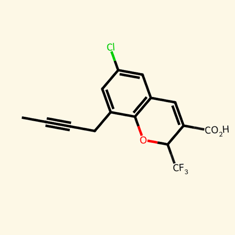 CC#CCc1cc(Cl)cc2c1OC(C(F)(F)F)C(C(=O)O)=C2